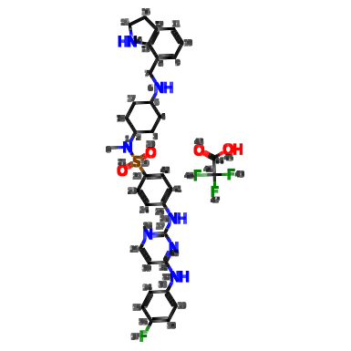 CN(C1CCC(NCc2cccc3c2NCC3)CC1)S(=O)(=O)c1ccc(Nc2nccc(Nc3ccc(F)cc3)n2)cc1.O=C(O)C(F)(F)F